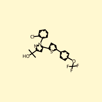 CC(C)(O)c1cc(-c2ccc(-c3ccc(OC(F)(F)F)cc3)s2)n(-c2ccccc2Cl)n1